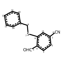 N#Cc1ccc(C=O)c(SCc2ccccc2)c1